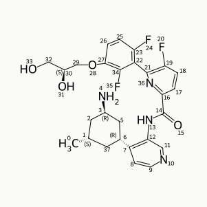 C[C@@H]1C[C@@H](N)C[C@H](c2ccncc2NC(=O)c2ccc(F)c(-c3c(F)ccc(OC[C@@H](O)CO)c3F)n2)C1